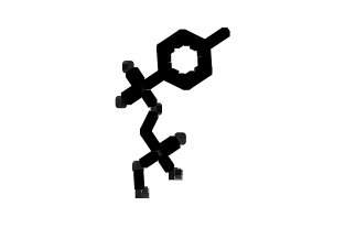 CCOP(=O)(CC)COS(=O)(=O)c1ccc(C)cc1